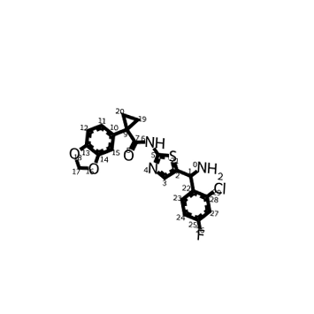 NC(c1cnc(NC(=O)C2(c3ccc4c(c3)OCO4)CC2)s1)c1ccc(F)cc1Cl